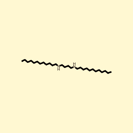 CCCCCCCCCCCCNC[CH]CCNCCCCCCCCCCCC